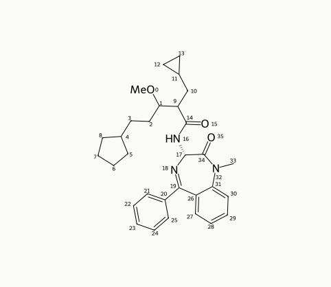 COC(CCC1CCCC1)C(CC1CC1)C(=O)N[C@H]1N=C(c2ccccc2)c2ccccc2N(C)C1=O